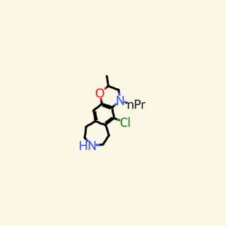 CCCN1CC(C)Oc2cc3c(c(Cl)c21)CCNCC3